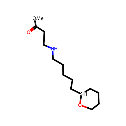 COC(=O)CCNCCCCC[SiH]1CCCCO1